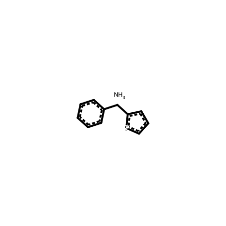 N.c1ccc(Cc2cccs2)cc1